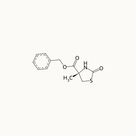 C[C@]1(C(=O)OCc2ccccc2)CSC(=O)N1